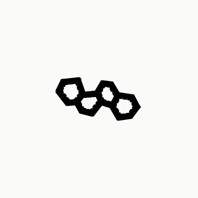 [c]1ccc2c(c1)ccc1c3[c]cccc3ccc21